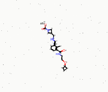 CC1=C(C(=O)NCCOC2CCC2)C=CC/C1=C\NCC1CN(C(=O)OC(C)(C)C)C1